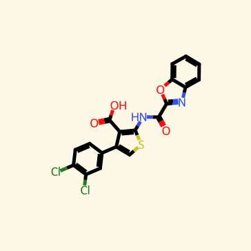 O=C(Nc1scc(-c2ccc(Cl)c(Cl)c2)c1C(=O)O)c1nc2ccccc2o1